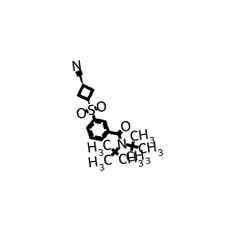 CC(C)(C)N(C(=O)c1cccc(S(=O)(=O)[C@H]2C[C@H](C#N)C2)c1)C(C)(C)C